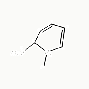 COC1C=CC=CN1C